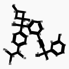 Cc1cccc(C(C)(O)C#Cc2cncc(C(O)(c3ccc(C(F)C(F)F)cc3)C3(C)CN(C)C3)c2)n1